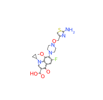 COc1c(N2CCN(OCc3csc(N)n3)CC2)c(F)cc2c(=O)c(C(=O)O)cn(C3CC3)c12